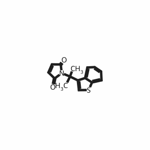 CC(C)(c1csc2ccccc12)N1C(=O)C=CC1=O